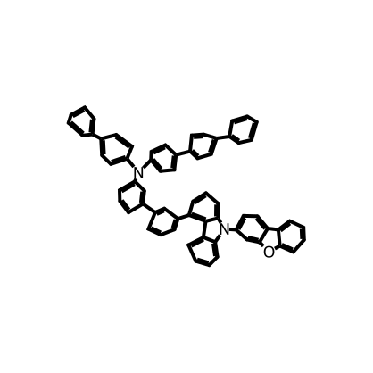 c1ccc(-c2ccc(-c3ccc(N(c4ccc(-c5ccccc5)cc4)c4cccc(-c5cccc(-c6cccc7c6c6ccccc6n7-c6ccc7c(c6)oc6ccccc67)c5)c4)cc3)cc2)cc1